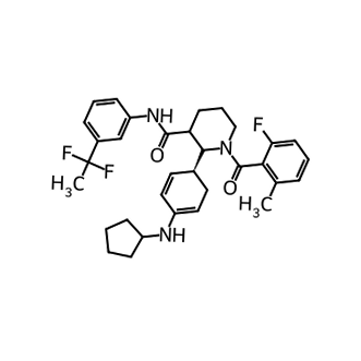 Cc1cccc(F)c1C(=O)N1CCCC(C(=O)Nc2cccc(C(C)(F)F)c2)C1[C@@H]1C=CC(NC2CCCC2)=CC1